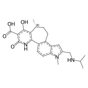 CC(C)NCc1cc2c3c(ccc2n1C)-c1[nH]c(=O)c(C(=O)O)c(O)c1[C@H](C)CC3